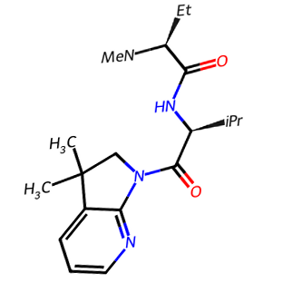 CC[C@H](NC)C(=O)N[C@H](C(=O)N1CC(C)(C)c2cccnc21)C(C)C